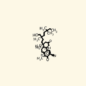 CCC(C)(C)CC[C@](C)(CO)CC[C@]1(C)CC(=O)C[C@@H]2[C@@]3(C)C=C(C#N)C(=O)[C@@H](C)[C@@H]3CC[C@]21C